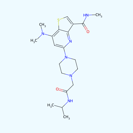 CNC(=O)c1csc2c(N(C)C)cc(N3CCN(CC(=O)NC(C)C)CC3)nc12